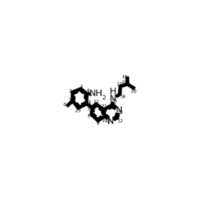 Cc1ccc(N)c(-c2ccc3ncnc(NCCC(C)C)c3c2)c1